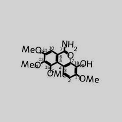 COc1ccc(-c2c(C(N)=O)cc(OC)c(OC)c2OC)cc1O